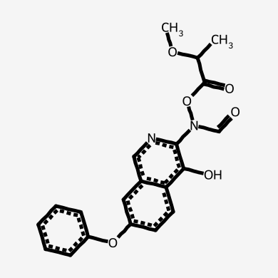 COC(C)C(=O)ON(C=O)c1ncc2cc(Oc3ccccc3)ccc2c1O